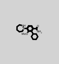 COc1c(N2CCCCCN2)ccc(C(N)=O)c1C1CCCCC1